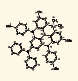 CC(C)(C)c1ccc(N2c3cc(N(c4ccccc4)c4ccccc4)cc4c3B3c5c2cc(C(C)(C)C)cc5[Si](C)(C)c2cc(C(C)(C)C)cc(c23)N4c2ccc(C(C)(C)C)cc2)cc1